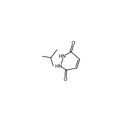 C[C](C)C.O=c1ccc(=O)[nH][nH]1